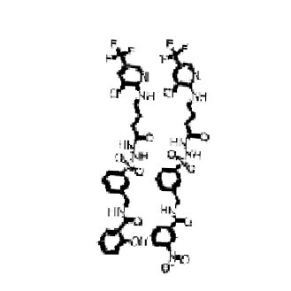 O=C(CCCNc1ncc(C(F)(F)F)cc1Cl)NNS(=O)(=O)c1cccc(CNC(=O)c2cccc([N+](=O)[O-])c2)c1.O=C(CCCNc1ncc(C(F)(F)F)cc1Cl)NNS(=O)(=O)c1cccc(CNC(=O)c2ccccc2O)c1